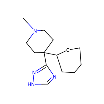 CN1CCC(c2nc[nH]n2)(C2CCCCC2)CC1